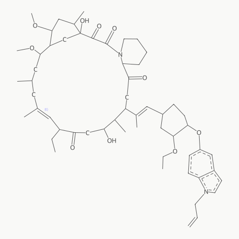 C=CCn1ccc2cc(OC3CCC(C=C(C)C4CC(=O)C5CCCCN5C(=O)C(=O)C5(O)CC(C(OC)CC(C)C/C(C)=C/C(CC)C(=O)CC(O)C4C)C(OC)CC5C)CC3OCC)ccc21